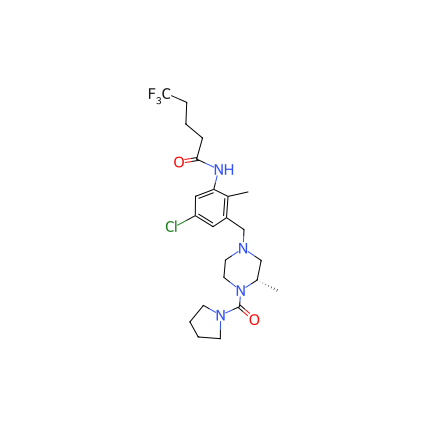 Cc1c(CN2CCN(C(=O)N3CCCC3)[C@@H](C)C2)cc(Cl)cc1NC(=O)CCCC(F)(F)F